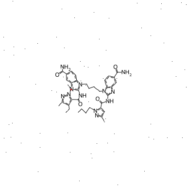 CCCCn1nc(C)cc1C(=O)Nc1nc2cc(C(N)=O)ccc2n1CCCCn1c(NC(=O)c2c(CC)c(C)nn2CC)nc2cc(C(N)=O)ccc21